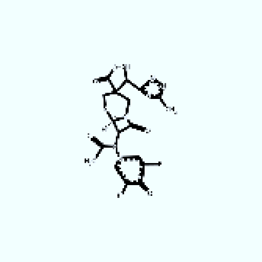 CC(=O)N(C1C(=O)N2CC(C(=O)O)(C(S)c3nnc(C)s3)CS[C@H]12)n1cc(Br)c(=O)c(Br)c1